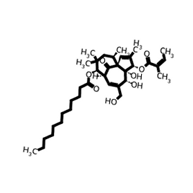 C/C=C(/C)C(=O)O[C@H]1C(C)=C[C@]23C(=O)[C@@H](C=C(CO)[C@@H](O)[C@]12O)[C@@H](OC(=O)CCCCCCCCCCC)C(C)(C)C[C@H]3C